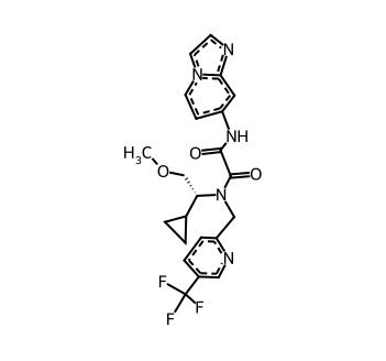 COC[C@@H](C1CC1)N(Cc1ccc(C(F)(F)F)cn1)C(=O)C(=O)Nc1ccn2ccnc2c1